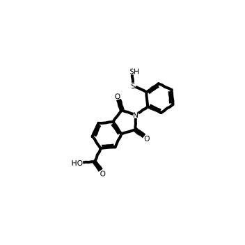 O=C(O)c1ccc2c(c1)C(=O)N(c1ccccc1SS)C2=O